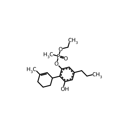 CCCc1cc(O)c(C2C=C(C)CCC2)c(OP(C)(=O)OCC)c1